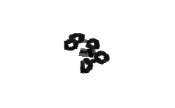 c1ccc(-c2ccccc2Nc2cccc(-c3cccc4ccccc34)c2)cc1